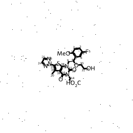 COc1ccc(F)cc1[C@H](Cn1c(=O)n(CC(=O)O)c(=O)c2c(C)c(-n3nccn3)sc21)OCCO